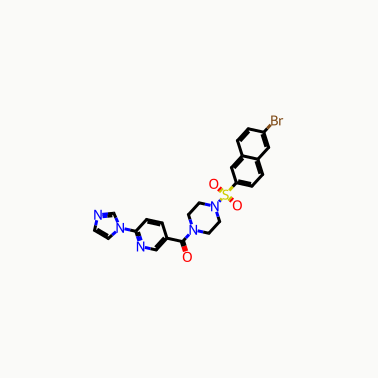 O=C(c1ccc(-n2ccnc2)nc1)N1CCN(S(=O)(=O)c2ccc3cc(Br)ccc3c2)CC1